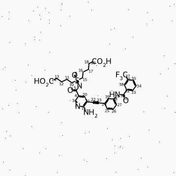 Nc1ncc(C(=O)N=S(=O)(CCCCC(=O)O)CCCCC(=O)O)cc1C#Cc1cccc(NC(=O)c2cccc(C(F)(F)F)c2)c1